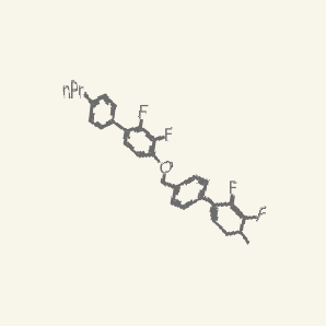 CCCc1ccc(-c2ccc(OCc3ccc(C4=CCC(C)C(F)=C4F)cc3)c(F)c2F)cc1